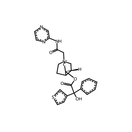 O=C(C[N+]12CCC(CC1)[C@@H](OC(=O)C(O)(c1ccccc1)c1ccsc1)C2)Nc1cnccn1